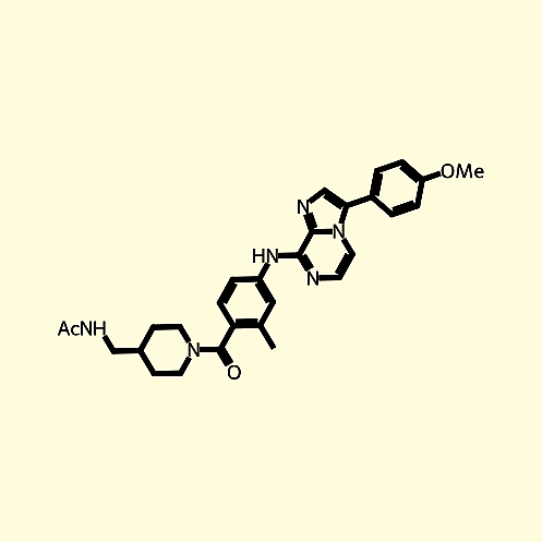 COc1ccc(-c2cnc3c(Nc4ccc(C(=O)N5CCC(CNC(C)=O)CC5)c(C)c4)nccn23)cc1